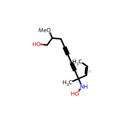 C/C=C\C(C)(C#CC#CCC(CO)OC)NO